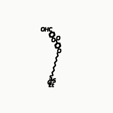 CCOC(=S)SCCCCCCCCCCOc1ccc(C(=O)Oc2ccc(C=O)cc2)cc1